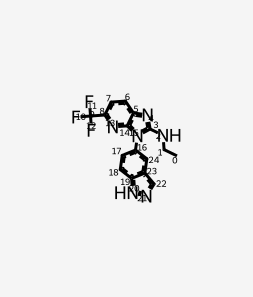 CCNc1nc2ccc(C(F)(F)F)nc2n1-c1ccc2[nH]ncc2c1